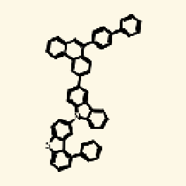 c1ccc(-c2ccc(-c3cc4ccccc4c4cc(-c5ccc6c(c5)c5ccccc5n6-c5ccc6sc7cccc(-c8ccccc8)c7c6c5)ccc34)cc2)cc1